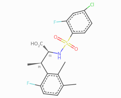 Cc1ccc(F)c([C@@H](C)[C@H](NS(=O)(=O)c2ccc(Cl)cc2F)C(=O)O)c1C